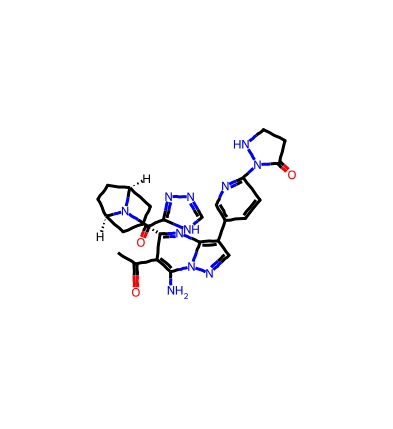 CC(=O)c1c([C@@H]2C[C@H]3CC[C@@H](C2)N3C(=O)c2nnc[nH]2)nc2c(-c3ccc(N4NCCC4=O)nc3)cnn2c1N